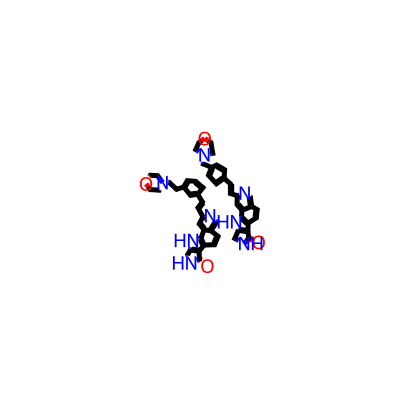 O=C1NCc2[nH]c3c(ccc4cnc(/C=C/c5ccc(CN6CCOCC6)cc5)cc43)c21.O=C1NCc2[nH]c3c(ccc4cnc(/C=C/c5cccc(CCN6CCOCC6)c5)cc43)c21